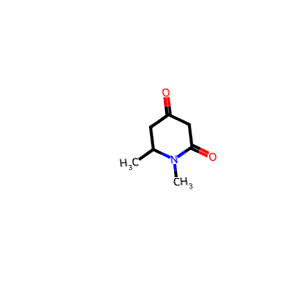 CC1CC(=O)CC(=O)N1C